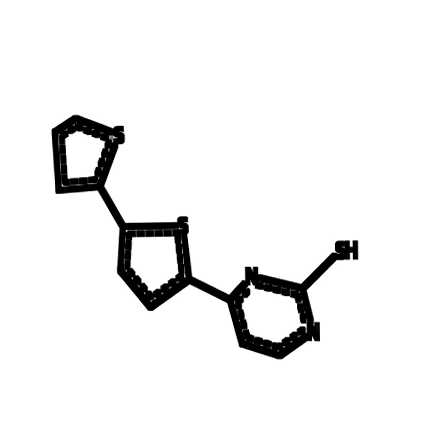 Sc1nccc(-c2ccc(-c3cccs3)s2)n1